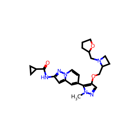 Cn1ncc(OCC2CCN2CC2CCCO2)c1-c1ccn2nc(NC(=O)C3CC3)cc2c1